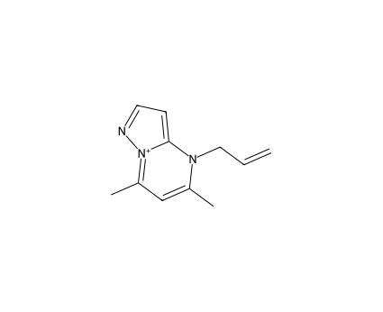 C=CCn1c(C)cc(C)[n+]2nccc1-2